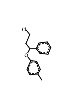 Cc1ccc(OC(CCCl)c2ccccc2)cc1